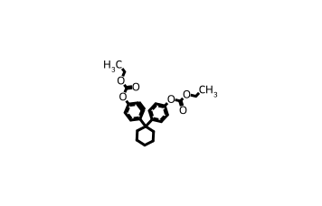 CCOC(=O)Oc1c#cc(C2(c3ccc(OC(=O)OCC)cc3)CCCCC2)cc1